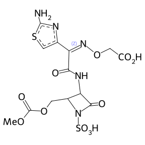 COC(=O)OCC1C(NC(=O)/C(=N\OCC(=O)O)c2csc(N)n2)C(=O)N1S(=O)(=O)O